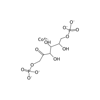 O=C(COP(=O)([O-])[O-])C(O)C(O)C(O)COP(=O)([O-])[O-].[Co+4]